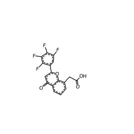 O=C(O)Cc1cccc2c(=O)cc(-c3cc(F)c(F)c(F)c3F)oc12